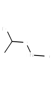 CCC(C)ONC(C)C